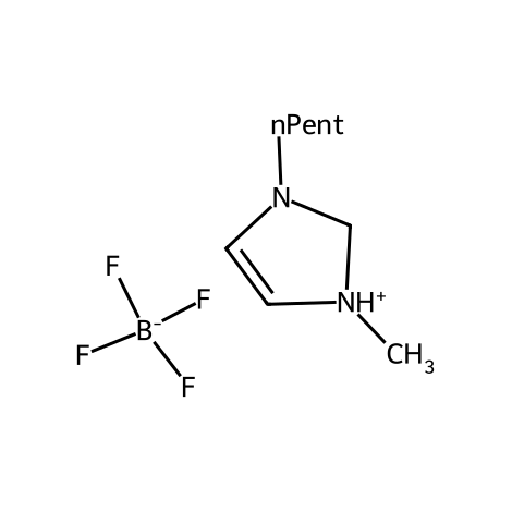 CCCCCN1C=C[NH+](C)C1.F[B-](F)(F)F